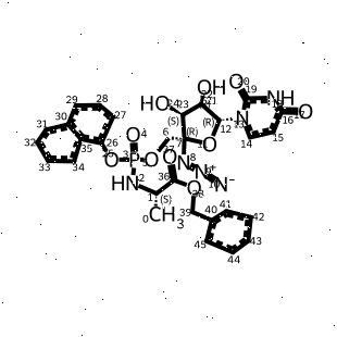 C[C@H](NP(=O)(OC[C@@]1(N=[N+]=[N-])O[C@@H](n2ccc(=O)[nH]c2=O)[C@H](O)[C@@H]1O)Oc1cccc2ccccc12)C(=O)OCc1ccccc1